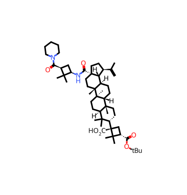 C=C(C)[C@@H]1CC[C@]2(C(=O)N[C@@H]3C[C@H](C(=O)N4CCCCC4)C3(C)C)CC[C@]3(C)[C@H](CC[C@@H]4[C@]5(C)CC[C@H]([C@]6(C(=O)O)C[C@H](C(=O)OC(C)(C)C)C6(C)C)C(C)(C)[C@H]5CC[C@]43C)[C@@H]12